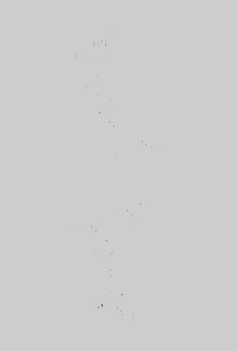 C=C(/C=C\NC)/C=C/C1(C)C=CC(N(C)CCCN(C)C(O)CSSCC(=O)N(C)CCCN(C)c2ccc(/C=C/C(/C=C\N(C)C)=C/C)cc2)=CC1